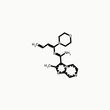 C=C/C=C(\N=C(/N)c1c(C)nc2cnccn12)N1CCOCC1